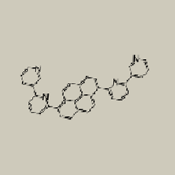 c1cncc(-c2cccc(-c3ccc4ccc5c(-c6cccc(-c7cccnc7)n6)ccc6ccc3c4c65)n2)c1